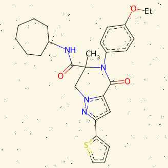 CCOc1ccc(N2C(=O)c3cc(-c4cccs4)nn3CC2(C)C(=O)NC2CCCCCC2)cc1